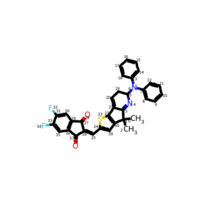 CC1(C)C2=NC(N(c3ccccc3)c3ccccc3)CC=C2c2sc(C=C3C(=O)c4cc(F)c(F)cc4C3=O)cc21